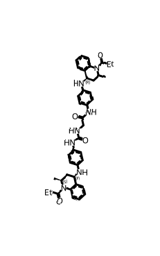 CCC(=O)N1c2ccccc2[C@H](Nc2ccc(NC(=O)CNC(=O)Nc3ccc(N[C@@H]4C[C@H](C)N(C(=O)CC)c5ccccc54)cc3)cc2)CC1C